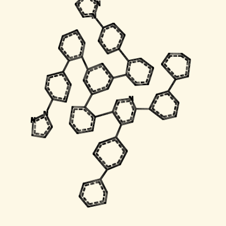 c1ccc(-c2ccc(-c3cc(-c4cccc(-c5ccccc5)c4)ncc3-c3ccccc3-c3cc(-c4ccccc4-c4ccc(-n5cccn5)cc4)cc(-c4ccccc4-c4ccc(-n5cccn5)cc4)c3)cc2)cc1